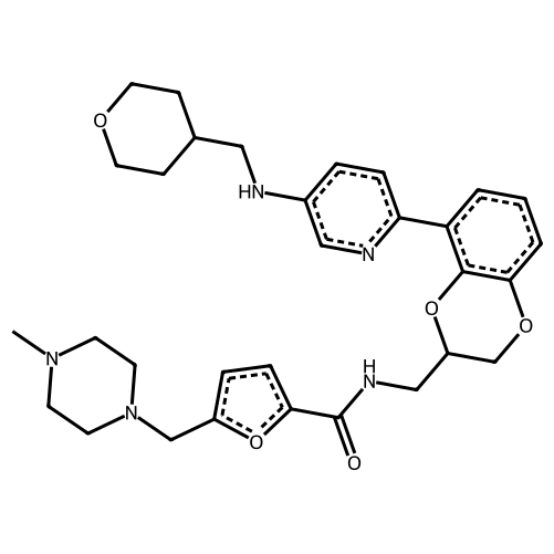 CN1CCN(Cc2ccc(C(=O)NCC3COc4cccc(-c5ccc(NCC6CCOCC6)cn5)c4O3)o2)CC1